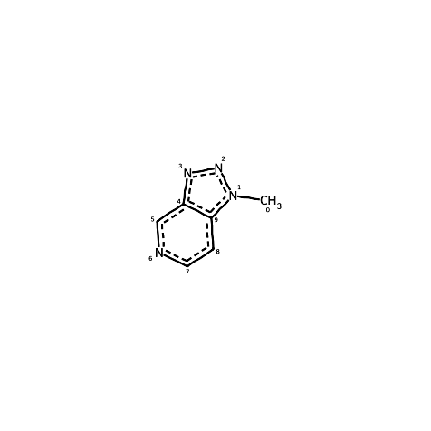 Cn1nnc2cnccc21